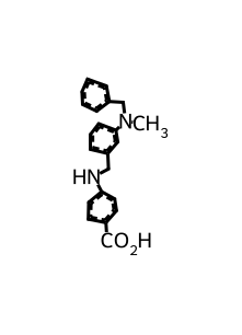 CN(Cc1ccccc1)c1cccc(CNc2ccc(C(=O)O)cc2)c1